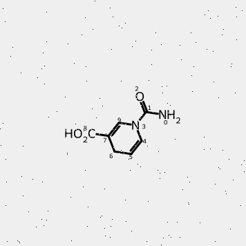 NC(=O)N1C=CCC(C(=O)O)=C1